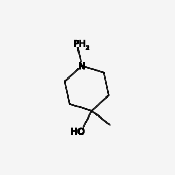 CC1(O)CCN(P)CC1